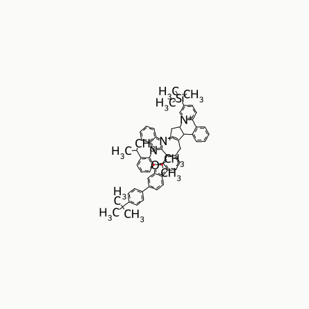 CC(C)c1cccc(C(C)C)c1-n1c2[n+](c3ccccc31)C1=C(Cc3ccc4c(oc5cc(-c6ccc(C(C)(C)C)cc6)ccc54)c3-2)C2c3ccccc3-c3ccc([Si](C)(C)C)c[n+]3C2C1